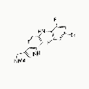 CNCc1c[nH]c2cc(Nc3c(F)cc(Br)cc3F)ccc12